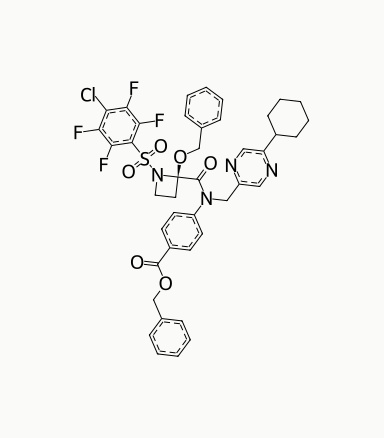 O=C(OCc1ccccc1)c1ccc(N(Cc2cnc(C3CCCCC3)cn2)C(=O)[C@]2(OCc3ccccc3)CCN2S(=O)(=O)c2c(F)c(F)c(Cl)c(F)c2F)cc1